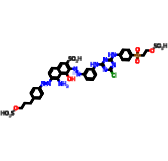 Nc1c(/N=N/c2ccc(CCCOS(=O)(=O)O)cc2)ccc2cc(S(=O)(=O)O)c(/N=N/c3cccc(Nc4nc(Cl)nc(Nc5ccc(S(=O)(=O)CCOS(=O)(=O)O)cc5)n4)c3)c(O)c12